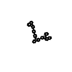 c1ccc(-n2c3ccc(-c4ccc5c6ccccc6n(-c6ccc(-c7ccc(-c8ccc9c(c8)-c8cccc%10cccc-9c8%10)cc7)cc6)c5c4)cc3c3ccc4ccccc4c32)cc1